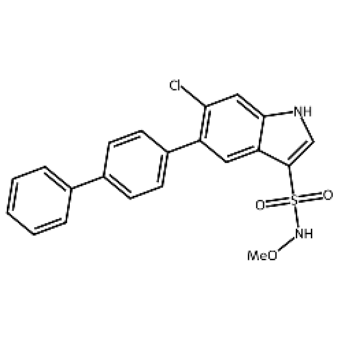 CONS(=O)(=O)c1c[nH]c2cc(Cl)c(-c3ccc(-c4ccccc4)cc3)cc12